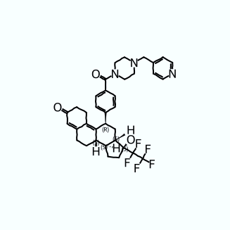 C[C@]12C[C@H](c3ccc(C(=O)N4CCN(Cc5ccncc5)CC4)cc3)C3=C4CCC(=O)C=C4CC[C@H]3[C@@H]1CC[C@@]2(O)C(F)(F)C(F)(F)F